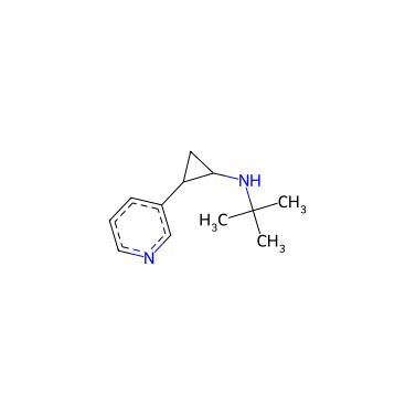 CC(C)(C)NC1CC1c1cccnc1